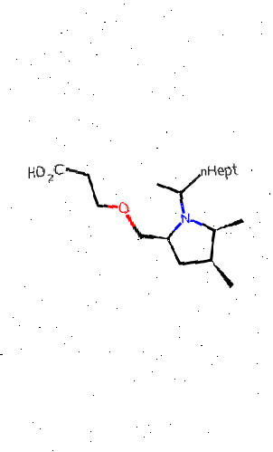 CCCCCCCC(C)N1[C@H](COCCC(=O)O)C[C@H](C)[C@@H]1C